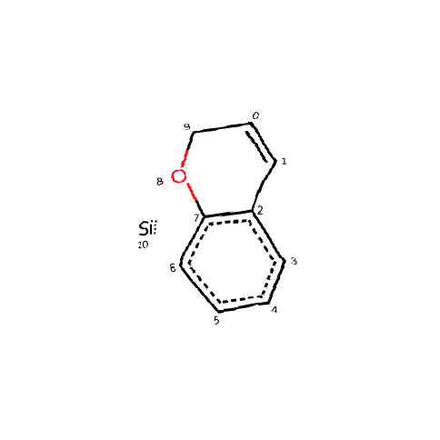 C1=Cc2ccccc2OC1.[Si]